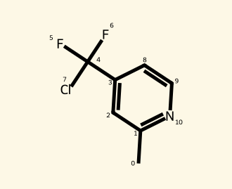 Cc1cc(C(F)(F)Cl)ccn1